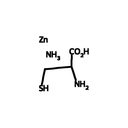 N.NC(CS)C(=O)O.[Zn]